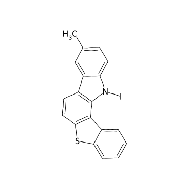 Cc1ccc2c(c1)c1ccc3sc4ccccc4c3c1n2I